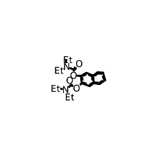 CCN(CC)C(=O)Oc1cc2ccccc2cc1OC(=O)N(CC)CC